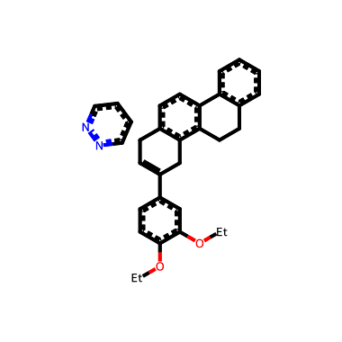 CCOc1ccc(C2=CCc3ccc4c(c3C2)CCc2ccccc2-4)cc1OCC.c1ccnnc1